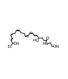 CCC(O)/C=C/C=C\C/C=C\CC\C=C/C=C\C=C\C(O)CCC(=O)NCCO